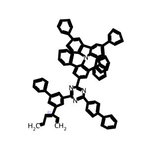 C=C/C=C(\C=C)c1cc(-c2ccccc2)cc(-c2nc(-c3ccc(-c4ccccc4)cc3)nc(-c3cc(-c4ccccc4)c(-n4c5ccc(-c6ccccc6)cc5c5cc(-c6ccccc6)cc(-c6ccccc6)c54)c(-c4ccccc4)c3)n2)c1